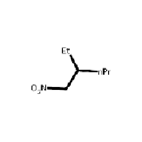 CCCC(CC)C[N+](=O)[O-]